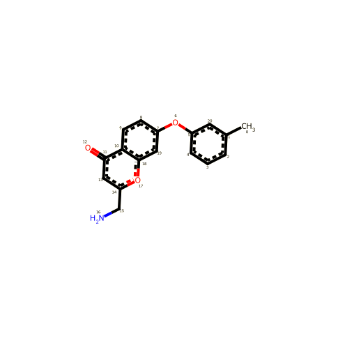 Cc1cccc(Oc2ccc3c(=O)cc(CN)oc3c2)c1